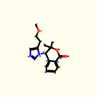 COCCc1cncn1[C@H]1c2ccccc2C(=O)OC1(C)C